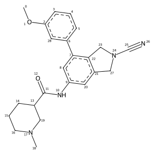 COc1cccc(-c2cc(NC(=O)C3CCCN(C)C3)cc3c2CN(C#N)C3)c1